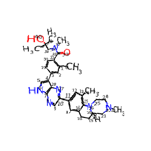 Cc1cc(-c2c[nH]c3ncc(-c4cc(C)c5c(c4)CC[C@H]4CN(C)CCN54)nc23)ccc1C(=O)N(C)CC(C)(C)O